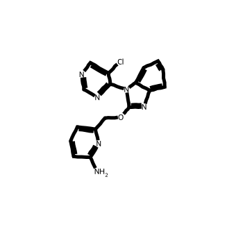 Nc1cccc(COc2nc3ccccc3n2-c2ncncc2Cl)n1